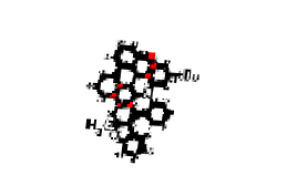 CC12CC=CC(c3ccccc3N(c3cc(C(C)(C)C)cc(C(C)(C)C)c3)c3ccccc3-c3cccc4cccc(C5CCCCC5)c34)=C1c1ccccc1O2